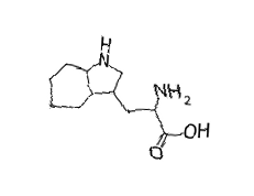 NC(CC1CNC2CCCCC12)C(=O)O